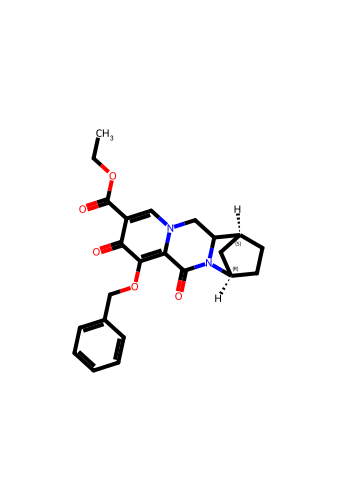 CCOC(=O)c1cn2c(c(OCc3ccccc3)c1=O)C(=O)N1C(C2)[C@H]2CC[C@@H]1C2